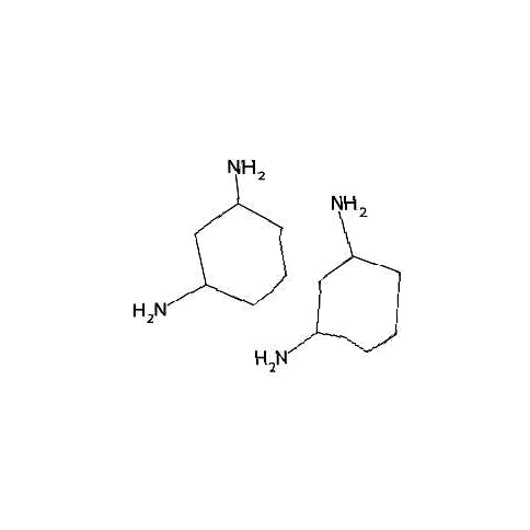 NC1CCCC(N)C1.NC1CCCC(N)C1